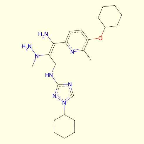 Cc1nc(/C(N)=C(\CNc2ncn(C3CCCCC3)n2)N(C)N)ccc1OC1CCCCC1